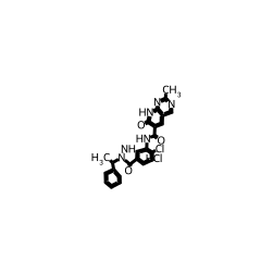 Cc1ncc2cc(C(=O)Nc3cc(C(=O)N(N)C(C)c4ccccc4)ccc3Cl)c(=O)[nH]c2n1.Cl